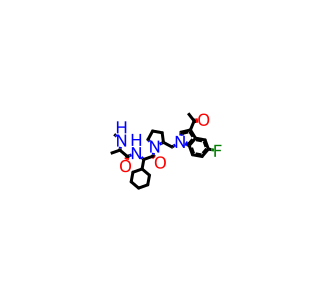 CNC(C)C(=O)NC(C(=O)N1CCCC1Cn1cc(C(C)=O)c2cc(F)ccc21)C1CCCCC1